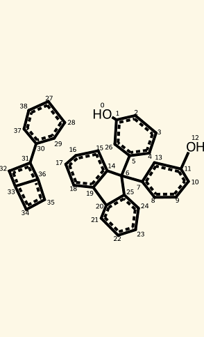 Oc1cccc(C2(c3cccc(O)c3)c3ccccc3-c3ccccc32)c1.c1ccc(-c2cc3ccc2-3)cc1